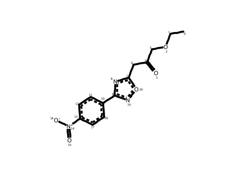 CCOCC(=O)Cc1nc(-c2ccc([N+](=O)[O-])cc2)no1